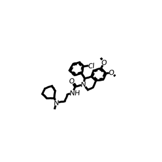 COc1cc2c(cc1OC)C(c1ccccc1Cl)N(C(=O)NCCN(C)C1CCCCC1)CC2